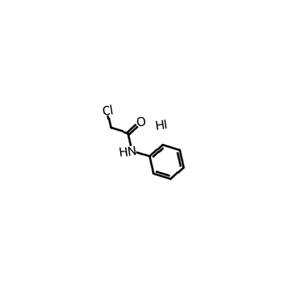 I.O=C(CCl)Nc1ccccc1